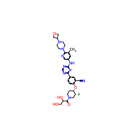 Cc1cc(Nc2ncnc(-c3ccc(O[C@H]4CCN(C(=O)C(O)CO)C[C@H]4F)c(C#N)c3)n2)cnc1N1CCN(C2COC2)CC1